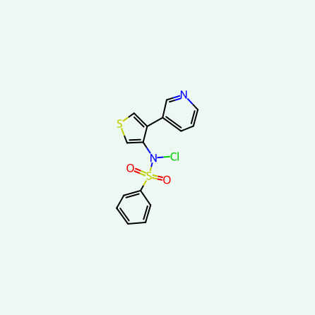 O=S(=O)(c1ccccc1)N(Cl)c1cscc1-c1cccnc1